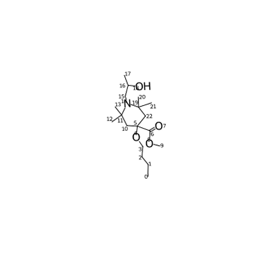 CCCCOC1(C(=O)OC)CC(C)(C)N(CC(C)O)C(C)(C)C1